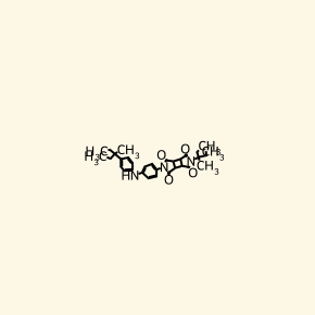 CCC(C)(CC)c1ccc(Nc2ccc(N3C(=O)C4C(C3=O)C3C(=O)N(C(C)(CC)CC)C(=O)C43)cc2)cc1